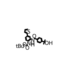 CC(C)(C)OC(=O)Nc1ccc(-c2cccs2)cc1NC(=O)c1ccc(C(C)(C)O)cc1